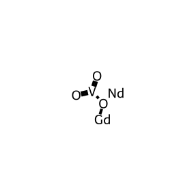 [Nd].[O]=[V](=[O])[O][Gd]